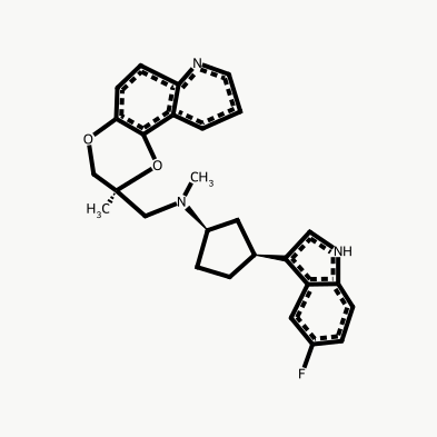 CN(C[C@@]1(C)COc2ccc3ncccc3c2O1)[C@@H]1CC[C@H](c2c[nH]c3ccc(F)cc23)C1